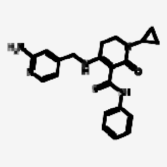 Nc1cc(CNC2=C(C(=S)Nc3ccccc3)C(=O)N(C3CC3)CC2)ccn1